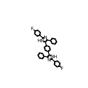 Fc1ccc(-c2nc(-c3ccccc3)c(-c3ccc(-c4[nH]c(-c5ccc(F)cc5)nc4-c4ccccc4)cc3)[nH]2)cc1